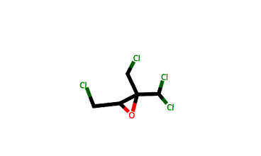 ClCC1OC1(CCl)C(Cl)Cl